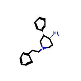 N[C@@H]1CCN(CCc2ccccc2)C[C@@H]1c1ccccc1